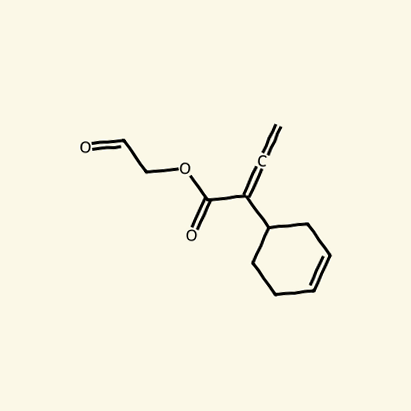 C=C=C(C(=O)OCC=O)C1CC=CCC1